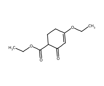 CCOC(=O)C1CCC(OCC)=CC1=O